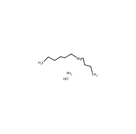 CCCCC[CH2][Mg][CH2]CCC.Cl.P